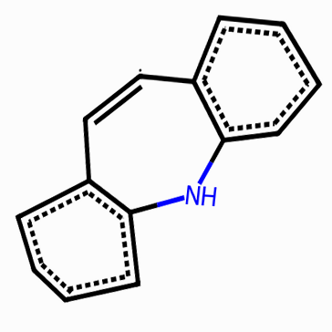 [C]1=Cc2ccccc2Nc2ccccc21